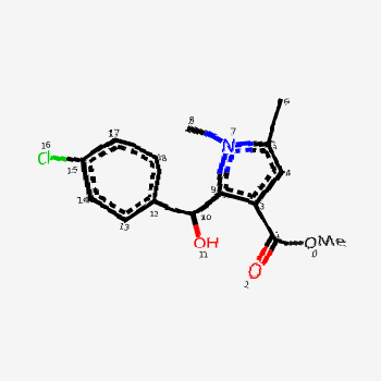 COC(=O)c1cc(C)n(C)c1C(O)c1ccc(Cl)cc1